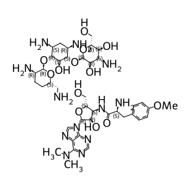 COc1ccc(C[C@H](N)C(=O)N[C@H]2[C@@H](O)[C@H](n3cnc4c(N(C)C)ncnc43)O[C@@H]2CO)cc1.NC[C@@H]1CC[C@@H](N)[C@@H](O[C@H]2[C@H](O)[C@@H](O[C@H]3O[C@H](CO)[C@@H](O)[C@H](N)[C@H]3O)[C@H](N)C[C@@H]2N)O1